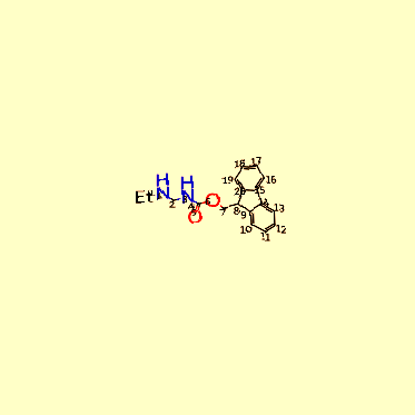 CCNCNC(=O)OCC1c2ccccc2-c2ccccc21